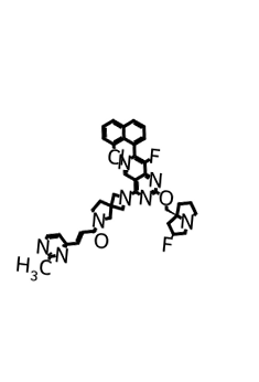 Cc1nccc(/C=C/C(=O)N2CCC3(C2)CN(c2nc(OC[C@@]45CCCN4C[C@H](F)C5)nc4c(F)c(-c5cccc6cccc(Cl)c56)ncc24)C3)n1